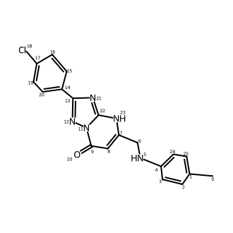 Cc1ccc(NCc2cc(=O)n3nc(-c4ccc(Cl)cc4)nc3[nH]2)cc1